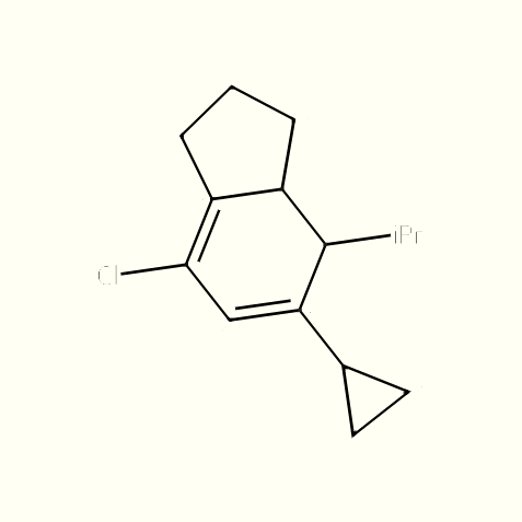 CC(C)C1C(C2CC2)=CC(Cl)=C2CCCC21